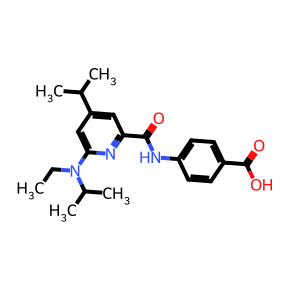 CCN(c1cc(C(C)C)cc(C(=O)Nc2ccc(C(=O)O)cc2)n1)C(C)C